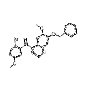 COc1ccc(Br)c(Nc2ncnc3cc(OCc4ccccc4)c(OC)cc23)c1